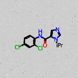 CC(C)n1cncc1C(=O)Nc1ccc(Cl)cc1Cl